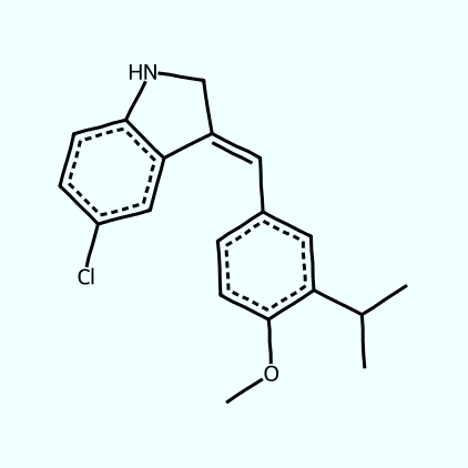 COc1ccc(/C=C2/CNc3ccc(Cl)cc32)cc1C(C)C